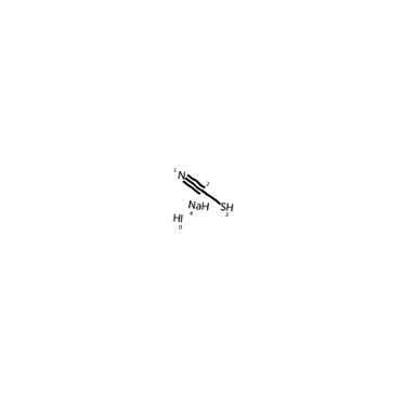 I.N#CS.[NaH]